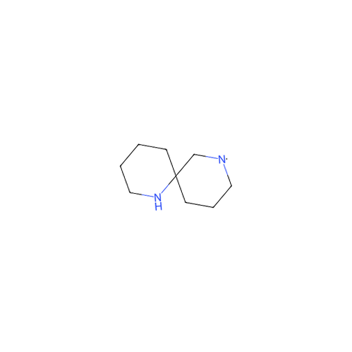 C1CCC2(CCC[N]C2)NC1